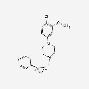 COc1cc(N2CCN(C[C@@H]3C[C@H]3c3ccccc3)CC2)ccc1Cl